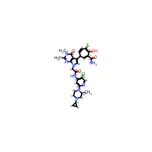 Cc1nc2c(c(C3C#CC(F)=C(O)C(C(N)=O)=C3)cn2CC(=O)Nc2cc(N3CCN(C4CC4)C[C@@H]3C)ncc2Cl)c(=O)n1C